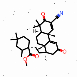 COC(=O)[C@]1(CC[C@]2(C)CC(=O)C=C3[C@@]4(C)C=C(C#N)C(=O)C(C)(C)[C@@H]4CC[C@]32C)CCC(C)(C)CC1C